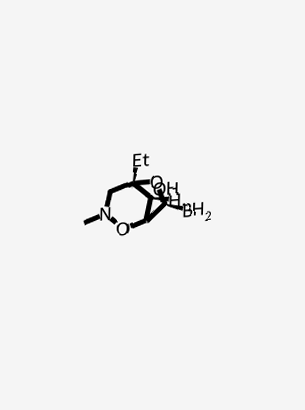 B[C@@H]1O[C@@]2(CC)CN(C)OC1[C@H]2O